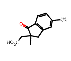 CC1(CC(=O)O)Cc2cc(C#N)ccc2C1=O